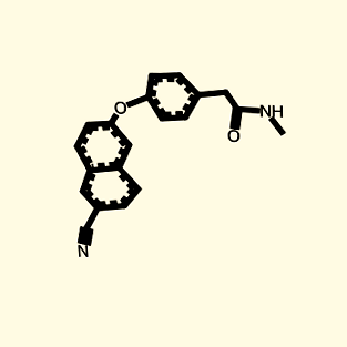 CNC(=O)Cc1ccc(Oc2ccc3cc(C#N)ccc3c2)cc1